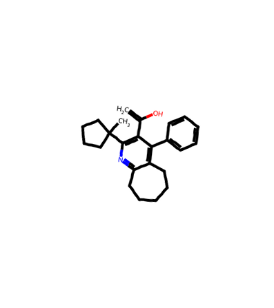 C=C(O)c1c(C2(C)CCCC2)nc2c(c1-c1ccccc1)CCCCC2